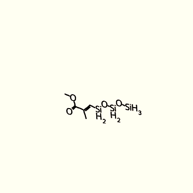 COC(=O)C(C)=C[SiH2]O[SiH2]O[SiH3]